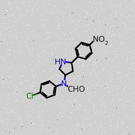 O=CN(c1ccc(Cl)cc1)C1CNC(c2ccc([N+](=O)[O-])cc2)C1